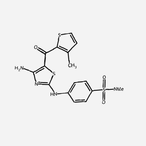 CNS(=O)(=O)c1ccc(Nc2nc(N)c(C(=O)c3sccc3C)s2)cc1